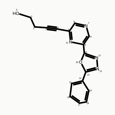 OCCC#Cc1cncc(-c2nnc(-c3ccccc3)o2)n1